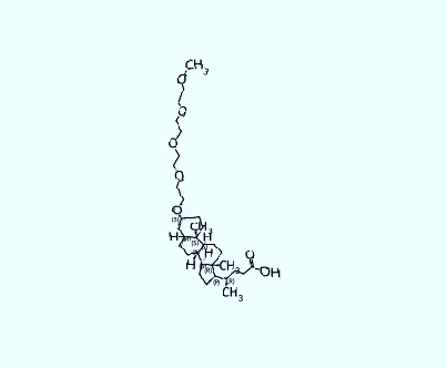 COCCOCCOCCOCCO[C@H]1CC[C@@]2(C)[C@H](CC[C@@H]3[C@@H]2CC[C@]2(C)[C@@H]([C@H](C)CCC(=O)O)CC[C@@H]32)C1